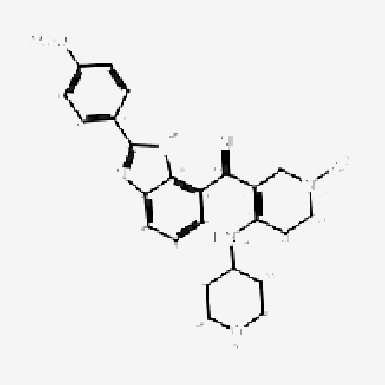 COc1ccc(-c2nc3cccc(C(=N)C4=C(NC5CCOCC5)CCN(C(C)=O)C4)c3o2)cc1